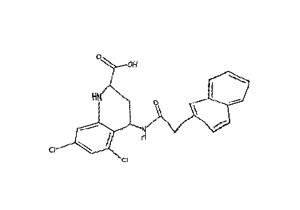 O=C(Cc1ccc2ccccc2c1)NC1CC(C(=O)O)Nc2cc(Cl)cc(Cl)c21